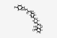 O=C(CNCc1ccc(F)cc1)Nc1ccc(C2CCN(C(=O)Nc3c(Cl)cccc3Cl)CC2)cc1